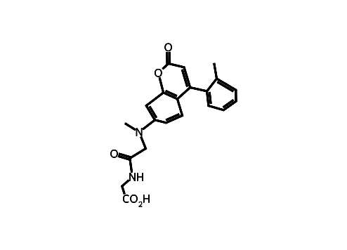 Cc1ccccc1-c1cc(=O)oc2cc(N(C)CC(=O)NCC(=O)O)ccc12